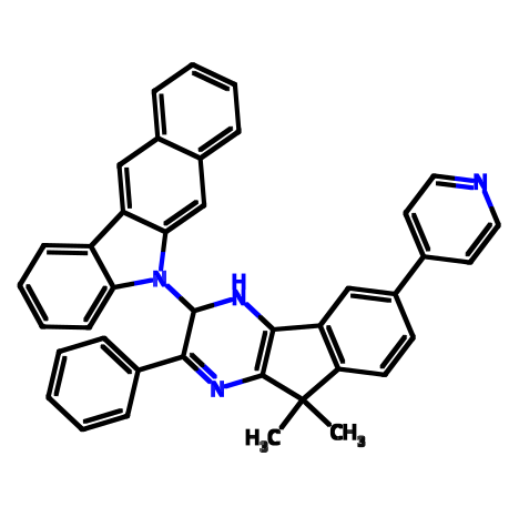 CC1(C)C2=C(NC(n3c4ccccc4c4cc5ccccc5cc43)C(c3ccccc3)=N2)c2cc(-c3ccncc3)ccc21